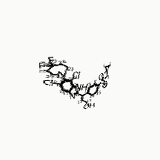 O=S(=O)(CC1CC1)c1ccc(C(CCO)c2nc3cc(Cl)c(N4CCC(F)(F)CC4)c(Cl)c3[nH]2)cc1